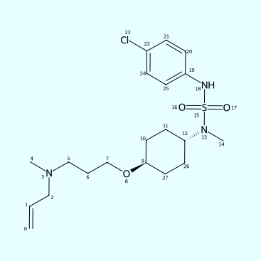 C=CCN(C)CCCO[C@H]1CC[C@H](N(C)S(=O)(=O)Nc2ccc(Cl)cc2)CC1